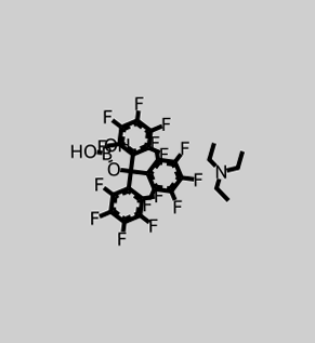 CCN(CC)CC.OB(O)OC(c1c(F)c(F)c(F)c(F)c1F)(c1c(F)c(F)c(F)c(F)c1F)c1c(F)c(F)c(F)c(F)c1F